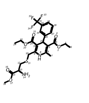 CCOC(=O)C1=C(C)NC(CSCC(N)C(=O)OC)=C(C(=O)OCC)C1c1cccc(C(F)(F)F)c1